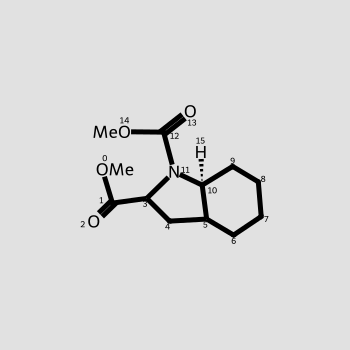 COC(=O)C1CC2CCCC[C@@H]2N1C(=O)OC